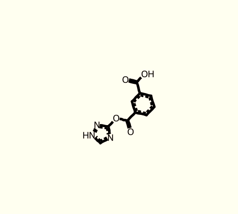 O=C(O)c1cccc(C(=O)Oc2nc[nH]n2)c1